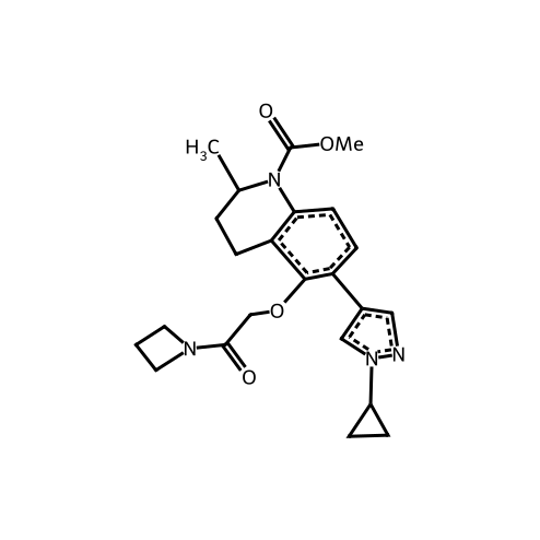 COC(=O)N1c2ccc(-c3cnn(C4CC4)c3)c(OCC(=O)N3CCC3)c2CCC1C